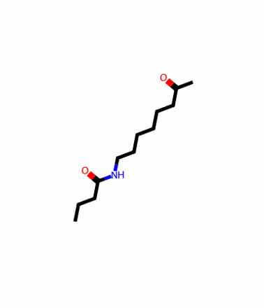 CCCC(=O)NCCCCCCC(C)=O